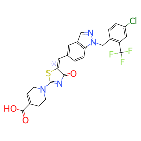 O=C(O)C1=CCN(C2=NC(=O)/C(=C\c3ccc4c(cnn4Cc4ccc(Cl)cc4C(F)(F)F)c3)S2)CC1